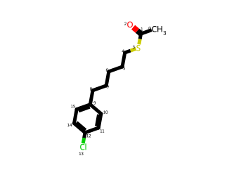 CC(=O)SCCCCCc1ccc(Cl)cc1